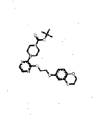 CC(C)(C)OC(=O)N1CCN(c2nccnc2OCCOc2ccc3c(c2)OCCO3)CC1